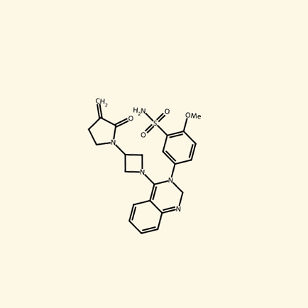 C=C1CCN(C2CN(C3=c4ccccc4=NCN3c3ccc(OC)c(S(N)(=O)=O)c3)C2)C1=O